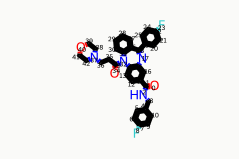 O=C(NCc1ccc(F)cc1)c1ccc2c(c1)N=C(c1ccc(F)cc1)c1ccccc1N2C(=O)CCN1CCOCC1